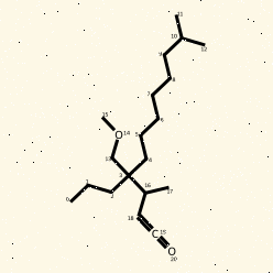 CCCC(CCCCCCC(C)C)(COC)C(C)C=C=O